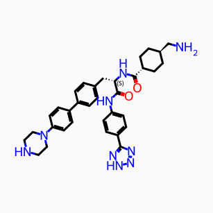 NC[C@H]1CC[C@H](C(=O)N[C@@H](Cc2ccc(-c3ccc(N4CCNCC4)cc3)cc2)C(=O)Nc2ccc(-c3nn[nH]n3)cc2)CC1